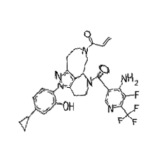 C=CC(=O)N1CCc2nn(-c3ccc(C4CC4)cc3O)c3c2C(C1)N(C(=O)c1cnc(C(F)(F)F)c(F)c1N)CC3